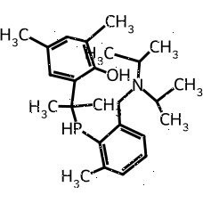 Cc1cc(C)c(O)c(C(C)(C)Pc2c(C)cccc2CN(C(C)C)C(C)C)c1